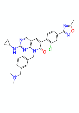 Cc1nc(-c2ccc(-c3cc4cnc(NC5CC5)nc4n(Cc4cccc(CN(C)C)c4)c3=O)c(Cl)c2)no1